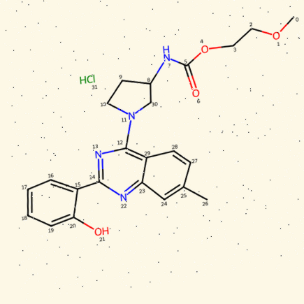 COCCOC(=O)NC1CCN(c2nc(-c3ccccc3O)nc3cc(C)ccc23)C1.Cl